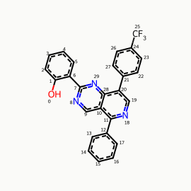 Oc1ccccc1-c1ncc2c(-c3ccccc3)ncc(-c3ccc(C(F)(F)F)cc3)c2n1